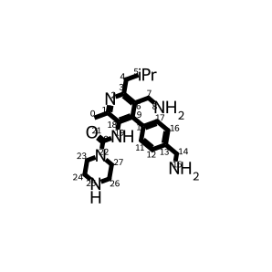 Cc1nc(CC(C)C)c(CN)c(-c2ccc(CN)cc2)c1NC(=O)N1CCNCC1